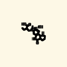 CCC(CN(C)c1ccc2c3c(c(=O)[nH]c2c1)CCCN3)C(=O)O.Cl.Cl